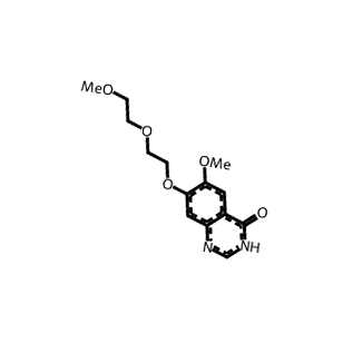 COCCOCCOc1cc2nc[nH]c(=O)c2cc1OC